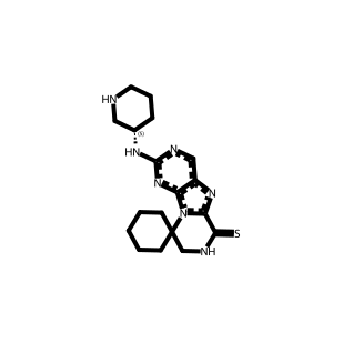 S=C1NCC2(CCCCC2)n2c1nc1cnc(N[C@H]3CCCNC3)nc12